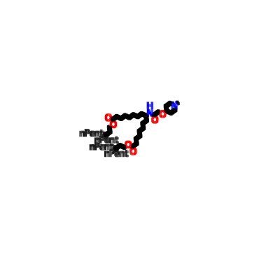 CCCCCC(CCCCC)CCOC(=O)CCCCCCCC(CCCCCCCC(=O)OCCC(CCCCC)CCCCC)NC(=O)COC1CCN(C)CC1